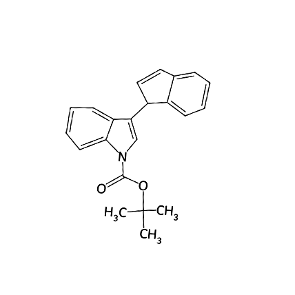 CC(C)(C)OC(=O)n1cc(C2C=Cc3ccccc32)c2ccccc21